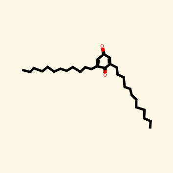 CCCCCCCCCCCCC1=CC(=O)C=C(CCCCCCCCCCCC)C1=O